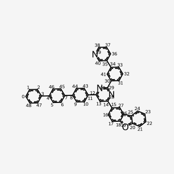 c1ccc(-c2ccc(-c3ccc(-c4cc(-c5ccc6oc7ccccc7c6c5)nc(-c5cccc(-c6cccnc6)c5)n4)cc3)cc2)cc1